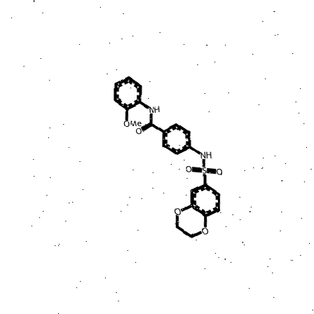 COc1ccccc1NC(=O)c1ccc(NS(=O)(=O)c2ccc3c(c2)OCCO3)cc1